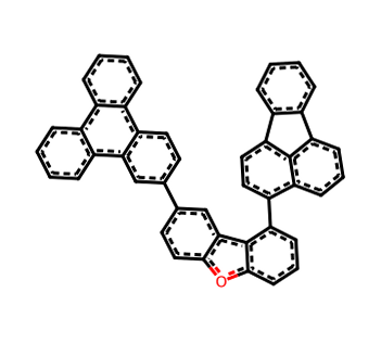 c1ccc2c(c1)-c1cccc3c(-c4cccc5oc6ccc(-c7ccc8c9ccccc9c9ccccc9c8c7)cc6c45)ccc-2c13